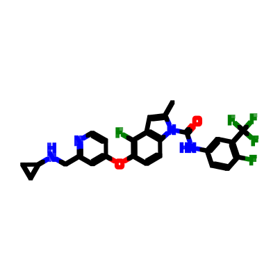 Cc1cc2c(F)c(Oc3ccnc(CNC4CC4)c3)ccc2n1C(=O)Nc1ccc(F)c(C(F)(F)F)c1